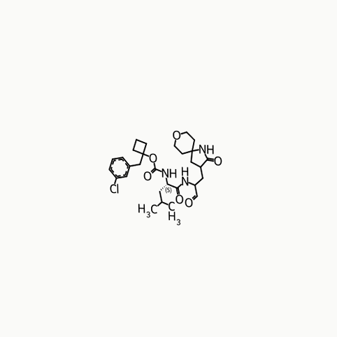 CC(C)C[C@H](NC(=O)OC1(Cc2cccc(Cl)c2)CCC1)C(=O)NC(C=O)CC1CC2(CCOCC2)NC1=O